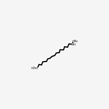 CCCCCCCCCCCCCCCCCCCCCCCCCNCCCC